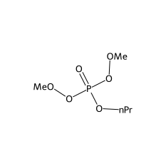 [CH2]CCOP(=O)(OOC)OOC